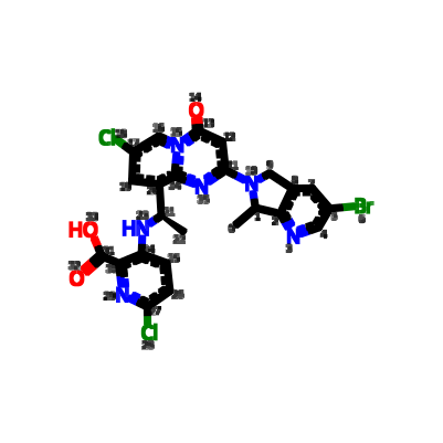 CC1c2ncc(Br)cc2CN1c1cc(=O)n2cc(Cl)cc([C@@H](C)Nc3ccc(Cl)nc3C(=O)O)c2n1